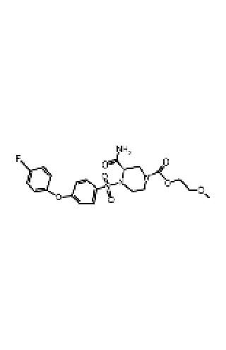 COCCOC(=O)N1CCN(S(=O)(=O)c2ccc(Oc3ccc(F)cc3)cc2)[C@@H](C(N)=O)C1